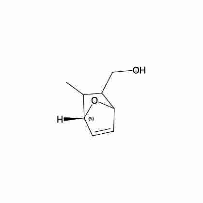 CC1C(CO)C2C=C[C@H]1O2